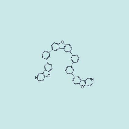 c1cc(-c2cccc(-c3ccc4oc5ccc(-c6cccc(-c7ccc8oc9ccncc9c8c7)c6)cc5c4c3)c2)cc(-c2ccc3oc4ccncc4c3c2)c1